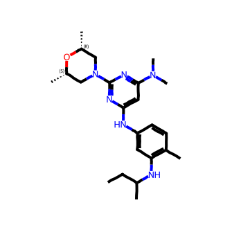 CCC(C)Nc1cc(Nc2cc(N(C)C)nc(N3C[C@@H](C)O[C@@H](C)C3)n2)ccc1C